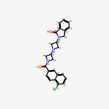 O=C(c1ccc2c(Br)cccc2c1)N1CC(N2CC(N3Cc4ccccc4C3=O)C2)C1